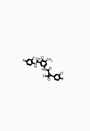 C=C(Nc1ccc(F)cc1F)c1cc(NC(=O)C2C(c3ccc(F)c(Cl)c3)C2(Cl)Cl)cc(C)c1Cl